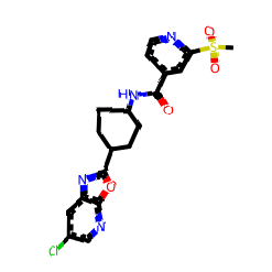 CS(=O)(=O)c1cc(C(=O)NC2CCC(c3nc4cc(Cl)cnc4o3)CC2)ccn1